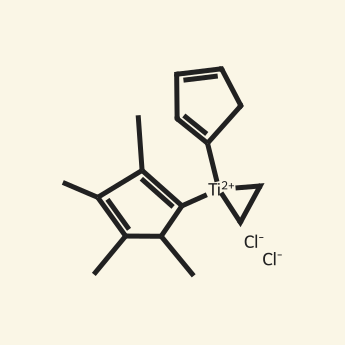 CC1=C(C)C(C)[C]([Ti+2]2([C]3=CC=CC3)[CH2][CH2]2)=C1C.[Cl-].[Cl-]